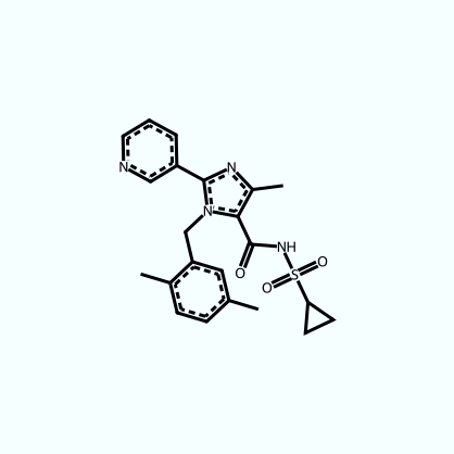 Cc1ccc(C)c(Cn2c(-c3cccnc3)nc(C)c2C(=O)NS(=O)(=O)C2CC2)c1